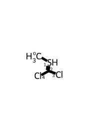 C[SH]=C(Cl)Cl